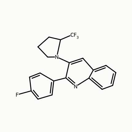 Fc1ccc(-c2nc3ccccc3cc2N2CCCC2C(F)(F)F)cc1